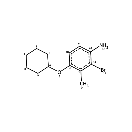 Cc1c(OC2CCCCC2)ccc(N)c1Br